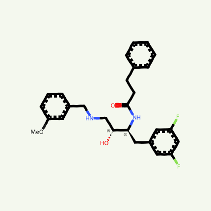 COc1cccc(CNC[C@@H](O)[C@H](Cc2cc(F)cc(F)c2)NC(=O)CCc2ccccc2)c1